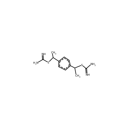 CC(SC(=N)N)c1ccc(C(C)SC(=N)N)cc1